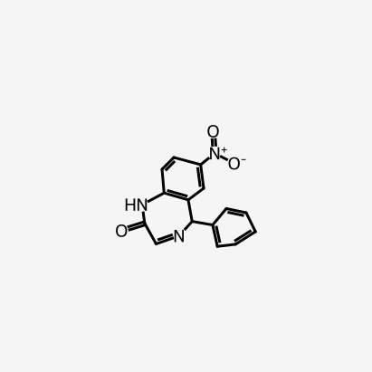 O=C1C=NC(c2ccccc2)c2cc([N+](=O)[O-])ccc2N1